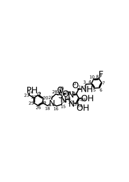 O=C(NCc1cccc(F)c1)c1nc(N2CCN(Cc3ccc(CP)cc3)CCS2(=O)=O)nc(O)c1O